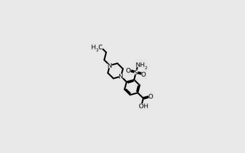 CCCN1CCN(c2ccc(C(=O)O)cc2S(N)(=O)=O)CC1